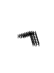 [KH].[KH].[KH].[KH].[KH].[KH].[KH].[KH].[KH].[KH].[KH].[KH].[KH].[KH].[KH]